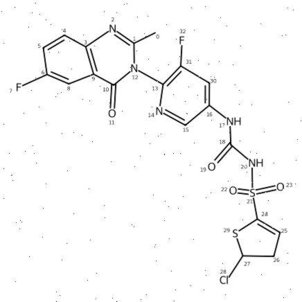 Cc1nc2ccc(F)cc2c(=O)n1-c1ncc(NC(=O)NS(=O)(=O)C2=CCC(Cl)S2)cc1F